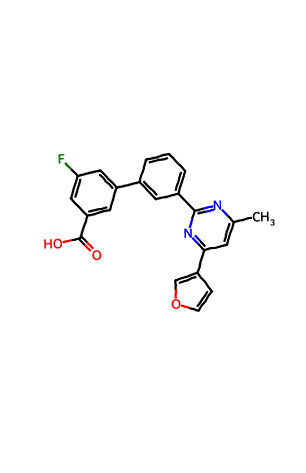 Cc1cc(-c2ccoc2)nc(-c2cccc(-c3cc(F)cc(C(=O)O)c3)c2)n1